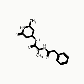 CC1CC(NC(=O)[C@H](C)NC(=O)Cc2ccccc2)CC(=O)N1